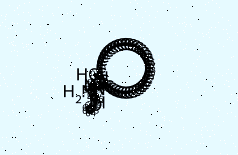 C#CC(=O)N1CCCCCCCCCCCCCCCCCCCCCCCCCCCCCCCCCCCCCCCC2(CC(Nc3ncnc(N)c3-c3ccc(Oc4ccccc4)cc3)C2)C1